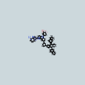 Bc1cccc(-n2c3ccc(-c4cccc(-c5ccc6c(-c7ccc8ccccc8c7)c7ccccc7c(-c7ccc8ccccc8c7)c6c5)c4)cc3c3nc(C(/C=C4/C=CC=CC4)=C/N)ccc32)c1